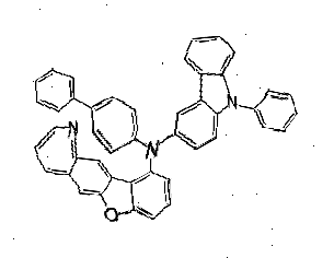 c1ccc(-c2ccc(N(c3ccc4c(c3)c3ccccc3n4-c3ccccc3)c3cccc4oc5cc6cccnc6cc5c34)cc2)cc1